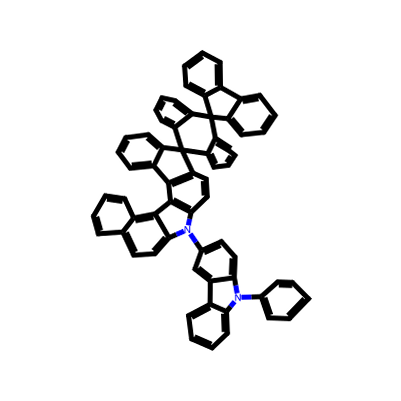 c1ccc(-n2c3ccccc3c3cc(-n4c5ccc6c(c5c5c7ccccc7ccc54)-c4ccccc4C64c5ccccc5C5(c6ccccc6-c6ccccc65)c5ccccc54)ccc32)cc1